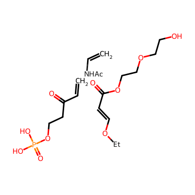 C=CC(=O)CCOP(=O)(O)O.C=CNC(C)=O.CCOC=CC(=O)OCCOCCO